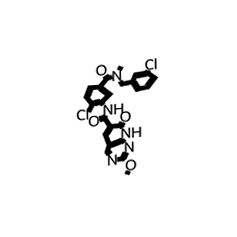 COc1ncc2cc(C(=O)Nc3cc(C(=O)N(C)Cc4cccc(Cl)c4)ccc3Cl)c(=O)[nH]c2n1